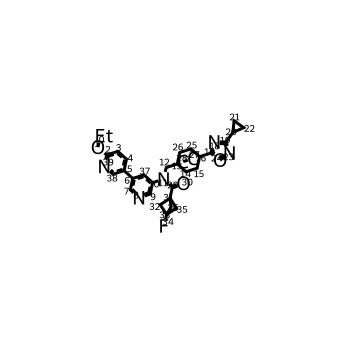 CCOc1ccc(-c2cncc(N(CC34CCC(c5nc(C6CC6)no5)(CC3)CC4)C(=O)C34CC(F)(C3)C4)c2)cn1